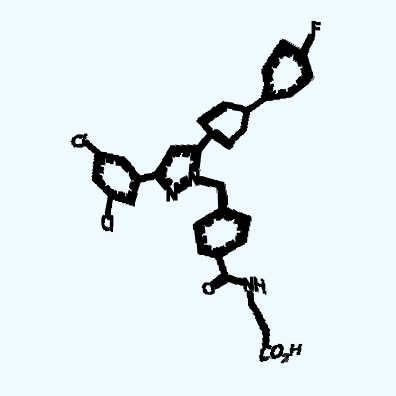 O=C(O)CCNC(=O)c1ccc(Cn2nc(-c3cc(Cl)cc(Cl)c3)cc2C2=CCC(c3ccc(F)cc3)C=C2)cc1